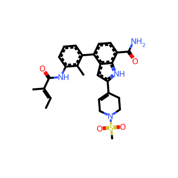 CC=C(C)C(=O)Nc1cccc(-c2ccc(C(N)=O)c3[nH]c(C4=CCN(S(C)(=O)=O)CC4)cc23)c1C